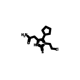 NC(=O)Cc1[nH]c(=S)n(CCCl)c1C1CCCC1